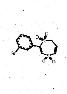 O=S1(=O)C=CCS(=O)(=O)C(c2cccc(Br)c2)=C1